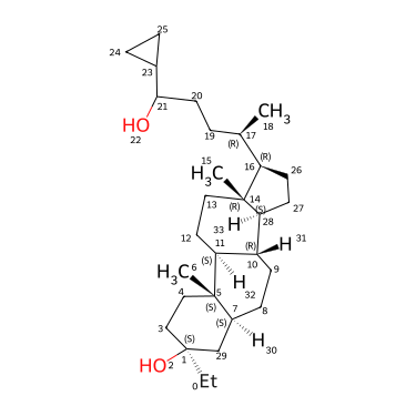 CC[C@]1(O)CC[C@@]2(C)[C@@H](CC[C@@H]3[C@@H]2CC[C@]2(C)[C@@H]([C@H](C)CCC(O)C4CC4)CC[C@@H]32)C1